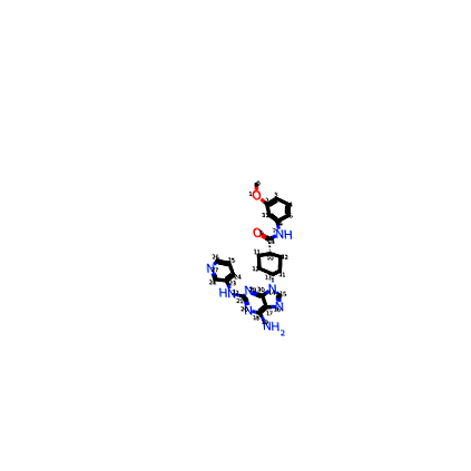 COc1cccc(NC(=O)[C@H]2CC[C@@H](n3cnc4c(N)nc(Nc5cccnc5)nc43)CC2)c1